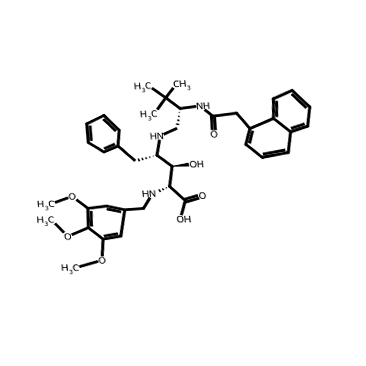 COc1cc(CN[C@@H](C(=O)O)[C@H](O)[C@H](Cc2ccccc2)NC[C@@H](NC(=O)Cc2cccc3ccccc23)C(C)(C)C)cc(OC)c1OC